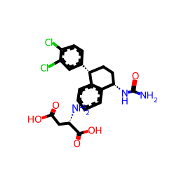 NC(=O)N[C@H]1CC[C@@H](c2ccc(Cl)c(Cl)c2)c2ccccc21.N[C@@H](CC(=O)O)C(=O)O